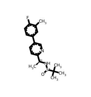 Cc1cc(-c2ccc([C@H](C)N[S+]([O-])C(C)(C)C)nc2)ccc1F